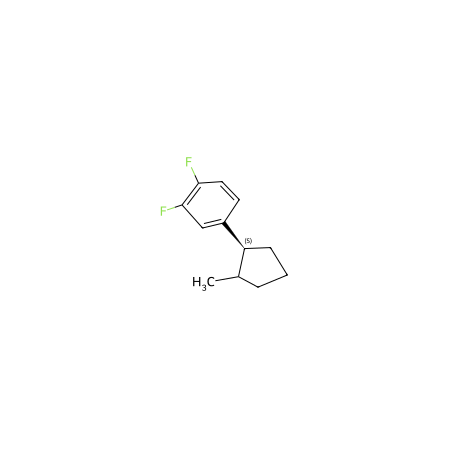 CC1CCC[C@@H]1c1ccc(F)c(F)c1